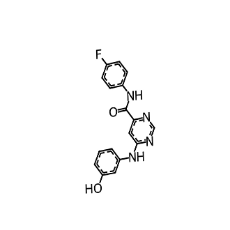 O=C(Nc1ccc(F)cc1)c1cc(Nc2cccc(O)c2)ncn1